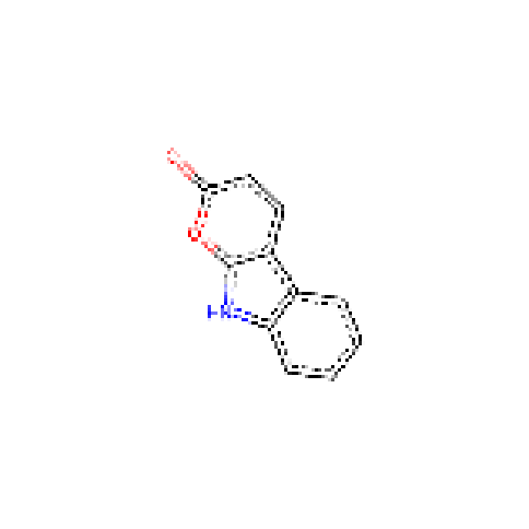 O=c1ccc2c([nH]c3ccccc32)o1